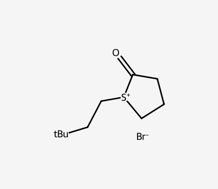 CC(C)(C)CC[S+]1CCCC1=O.[Br-]